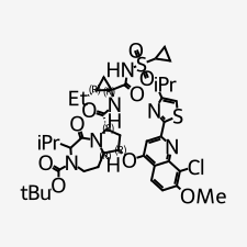 CC[C@@H]1C[C@]1(NC(=O)[C@@H]1C[C@@H](Oc2cc(-c3nc(C(C)C)cs3)nc3c(Cl)c(OC)ccc23)[C@H]2CCN(C(=O)OC(C)(C)C)C(C(C)C)C(=O)N21)C(=O)NS(=O)(=O)C1CC1